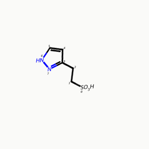 O=S(=O)(O)CCc1cc[nH]n1